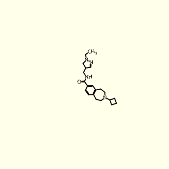 CCN1CC(CNC(=O)c2ccc3c(c2)CCN(C2CCC2)CC3)C=N1